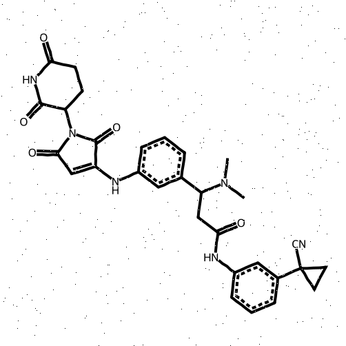 CN(C)C(CC(=O)Nc1cccc(C2(C#N)CC2)c1)c1cccc(NC2=CC(=O)N(C3CCC(=O)NC3=O)C2=O)c1